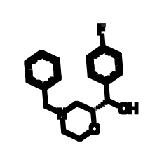 OC(c1ccc(F)cc1)[C@H]1CN(Cc2ccccc2)CCO1